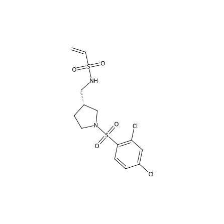 C=CS(=O)(=O)NC[C@H]1CCN(S(=O)(=O)c2ccc(Cl)cc2Cl)C1